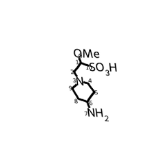 COC(CN1CCC(N)CC1)S(=O)(=O)O